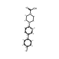 O=C(O)N1CCN(c2ccc(-c3ccc(F)cc3)cn2)CC1